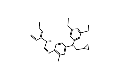 C=C/C(=C\CC)C(=C)/C=N\c1ccc(N(CC2CC2)c2cc(CC)cc(CC)c2)cc1C